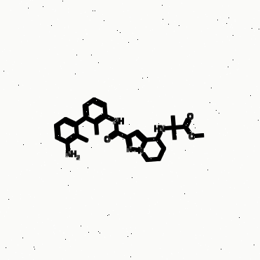 COC(=O)C(C)(C)NC1CCCn2nc(C(=O)Nc3cccc(-c4cccc(N)c4C)c3C)cc21